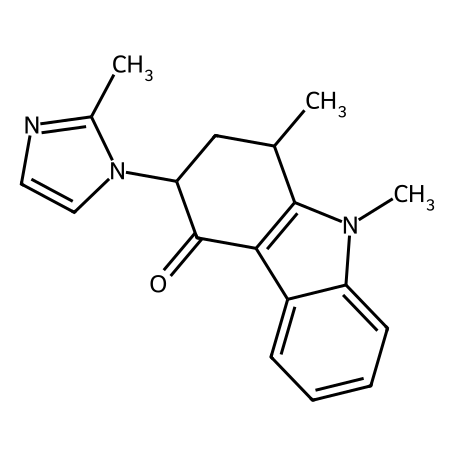 Cc1nccn1C1CC(C)c2c(c3ccccc3n2C)C1=O